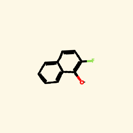 [O]c1c(F)ccc2ccccc12